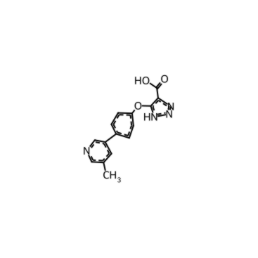 Cc1cncc(-c2ccc(Oc3[nH]nnc3C(=O)O)cc2)c1